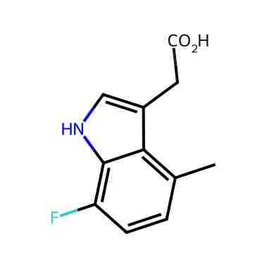 Cc1ccc(F)c2[nH]cc(CC(=O)O)c12